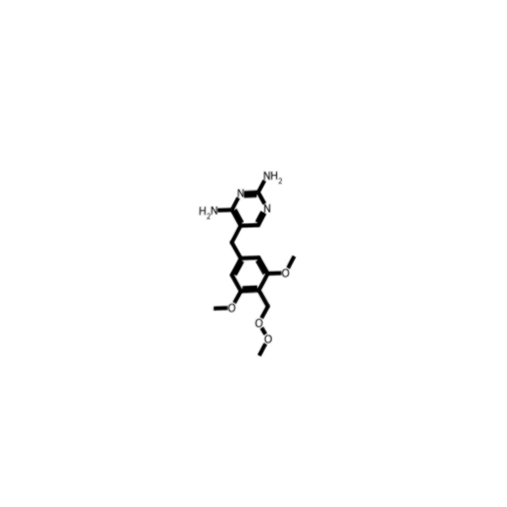 COOCc1c(OC)cc(Cc2cnc(N)nc2N)cc1OC